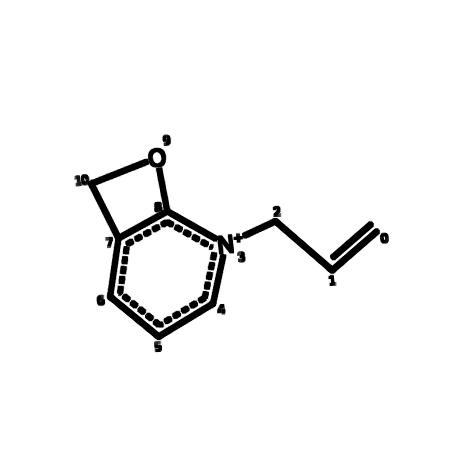 C=CC[n+]1cccc2c1OC2